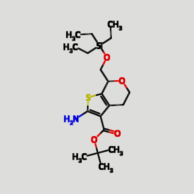 CC[Si](CC)(CC)OCC1OCCc2c1sc(N)c2C(=O)OC(C)(C)C